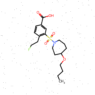 CCCCOC1CCCN(S(=O)(=O)c2cc(C(=O)O)ccc2CCF)CC1